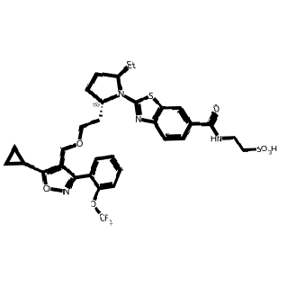 CCC1CC[C@@H](CCOCc2c(-c3ccccc3OC(F)(F)F)noc2C2CC2)N1c1nc2ccc(C(=O)NCCS(=O)(=O)O)cc2s1